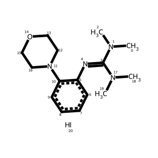 CN(C)C(=Nc1ccccc1N1CCOCC1)N(C)C.I